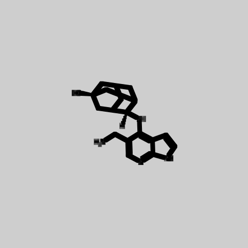 NCc1cnc2[nH]ccc2c1N[C@H]1C2CC3CC1C[C@@](O)(C3)C2